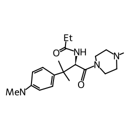 CCC(=O)N[C@@H](C(=O)N1CCN(C)CC1)C(C)(C)c1ccc(NC)cc1